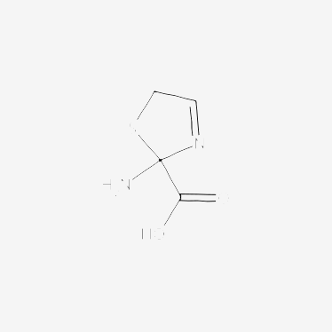 NC1(C(=O)O)N=CCS1